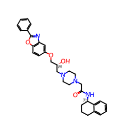 O=C(CN1CCN(C[C@@H](O)COc2ccc3oc(-c4ccccc4)nc3c2)CC1)N[C@@H]1CCCc2ccccc21